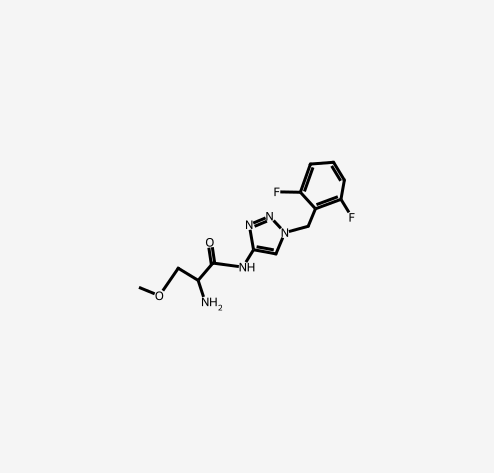 COCC(N)C(=O)Nc1cn(Cc2c(F)cccc2F)nn1